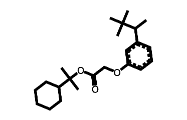 CC(c1cccc(OCC(=O)OC(C)(C)C2CCCCC2)c1)C(C)(C)C